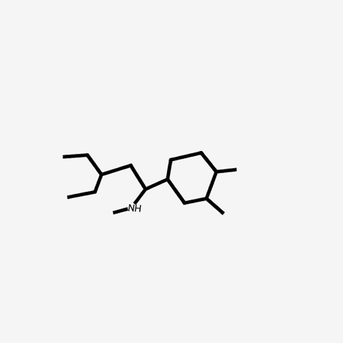 CCC(CC)CC(NC)C1CCC(C)C(C)C1